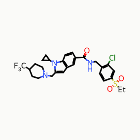 CCS(=O)(=O)c1ccc(CNC(=O)c2ccc3c(c2)cc(CN2CCC(C(F)(F)F)CC2)n3C2CC2)c(Cl)c1